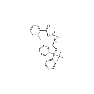 Cc1ccccc1C(=O)O[C@]1(F)C[C@H]1CO[Si](c1ccccc1)(c1ccccc1)C(C)(C)C